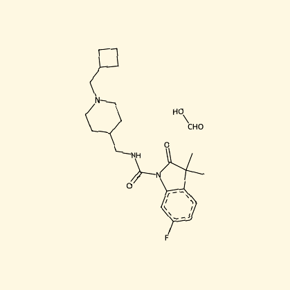 CC1(C)C(=O)N(C(=O)NCC2CCN(CC3CCC3)CC2)c2cc(F)ccc21.O=CO